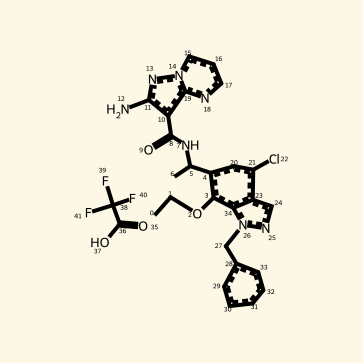 CCOc1c(C(C)NC(=O)c2c(N)nn3cccnc23)cc(Cl)c2cnn(Cc3ccccc3)c12.O=C(O)C(F)(F)F